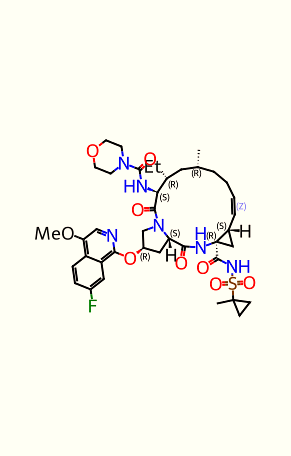 CC[C@@H]1C[C@H](C)CC/C=C\[C@@H]2C[C@@]2(C(=O)NS(=O)(=O)C2(C)CC2)NC(=O)[C@@H]2C[C@@H](Oc3ncc(OC)c4ccc(F)cc34)CN2C(=O)[C@H]1NC(=O)N1CCOCC1